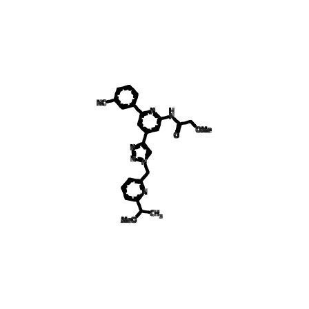 COCC(=O)Nc1cc(-c2cn(Cc3cccc(C(C)OC)n3)nn2)cc(-c2cccc(C#N)c2)n1